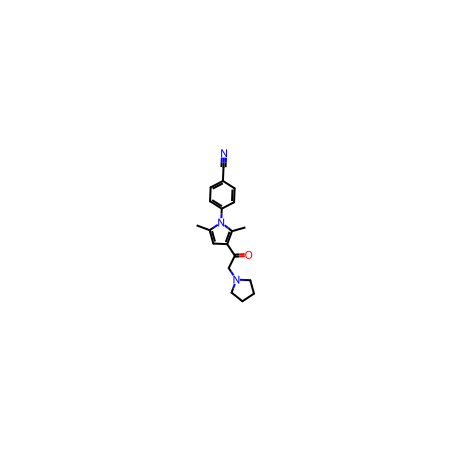 Cc1cc(C(=O)CN2CCCC2)c(C)n1-c1ccc(C#N)cc1